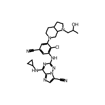 CC(O)CN1CCC2CCN(c3cc(C#N)cc(Nc4nc(NC5CC5)c5ncc(C#N)n5n4)c3Cl)CC21